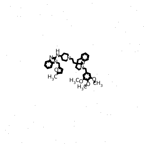 COc1cc(CN2CCC(CCN3CCC(Nc4nc5ccccc5n4Cc4ccc(C)o4)CC3)(Cc3ccccc3)C2=O)cc(OC)c1OC